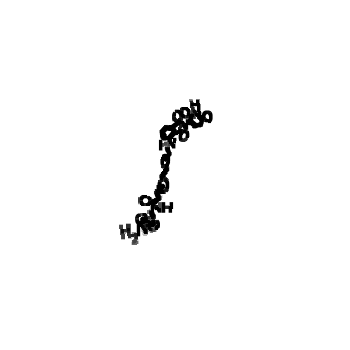 NS(=O)(=O)CCNC(=O)CCOCCOCCNc1cccc2c1C(=O)N(C1CCC(=O)NC1=O)C2=O